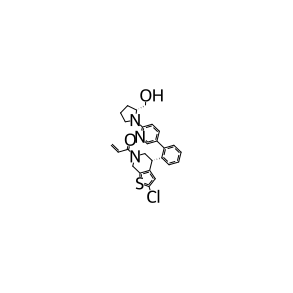 C=CC(=O)N1Cc2sc(Cl)cc2[C@@H](c2ccccc2-c2ccc(N3CCC[C@@H]3CO)nc2)C1